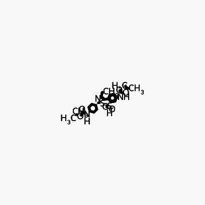 CCc1nc([C@H]2CC[C@H](NC(=O)OC(C)C)CC2)sc1-c1ccc(NC(=O)OC(C)C)cc1[SH](=O)=O